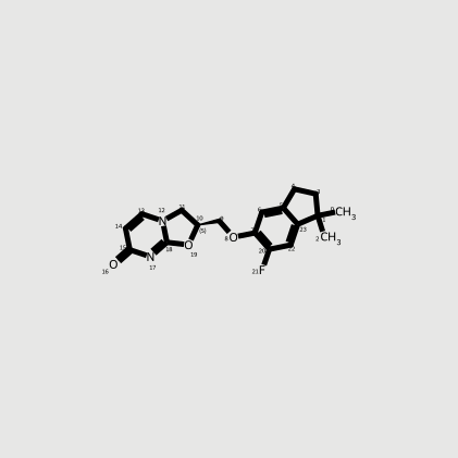 CC1(C)CCc2cc(OC[C@@H]3Cn4ccc(=O)nc4O3)c(F)cc21